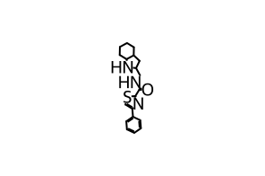 O=C(NCC1CC2CCCCC2N1)c1nc(-c2ccccc2)cs1